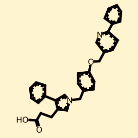 O=C(O)CCc1cn(Cc2ccc(OCc3ccc(-c4ccccc4)nc3)cc2)cc1-c1ccccc1